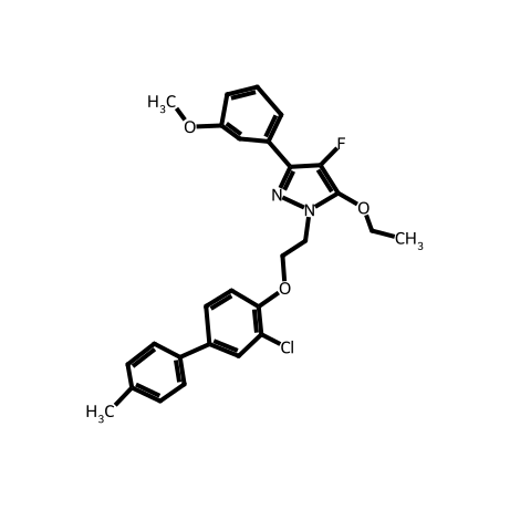 CCOc1c(F)c(-c2cccc(OC)c2)nn1CCOc1ccc(-c2ccc(C)cc2)cc1Cl